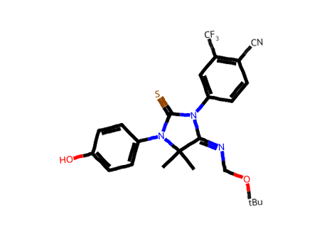 CC(C)(C)OC/N=C1/N(c2ccc(C#N)c(C(F)(F)F)c2)C(=S)N(c2ccc(O)cc2)C1(C)C